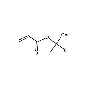 C=CC(=O)OC(C)(Cl)OC(C)=O